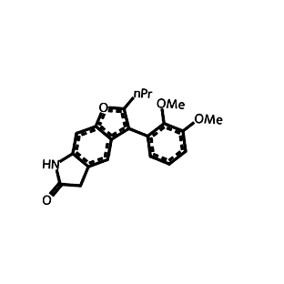 CCCc1oc2cc3c(cc2c1-c1cccc(OC)c1OC)CC(=O)N3